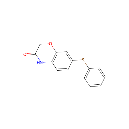 O=C1COc2cc(Sc3ccccc3)ccc2N1